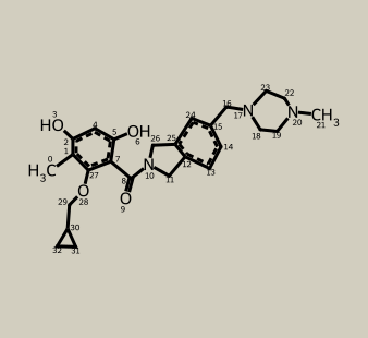 Cc1c(O)cc(O)c(C(=O)N2Cc3ccc(CN4CCN(C)CC4)cc3C2)c1OCC1CC1